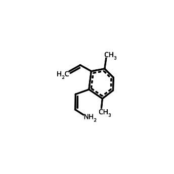 C=Cc1c(C)ccc(C)c1/C=C\N